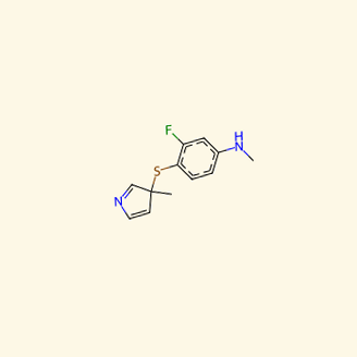 CNc1ccc(SC2(C)C=CN=C2)c(F)c1